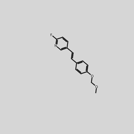 COCOc1ccc(C=Cc2ccc(F)nc2)cc1